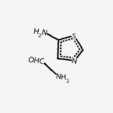 NC=O.Nc1cncs1